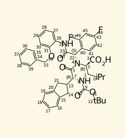 CC(C)C[C@H](C(=O)O)N(C(=O)[C@H](NC(=O)OC(C)(C)C)C1Cc2ccccc2C1)[C@H](C(=O)Nc1ccccc1OCc1ccccc1)c1ccc(F)cc1F